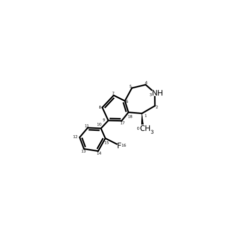 C[C@@H]1CNCCc2ccc(-c3ccccc3F)cc21